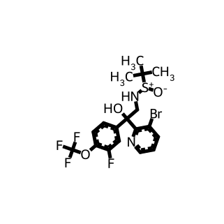 CC(C)(C)[S+]([O-])NCC(O)(c1ccc(OC(F)(F)F)c(F)c1)c1ncccc1Br